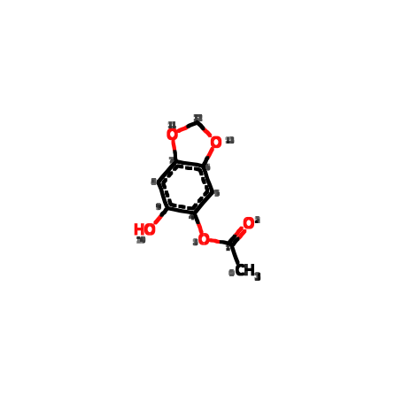 CC(=O)Oc1cc2c(cc1O)OCO2